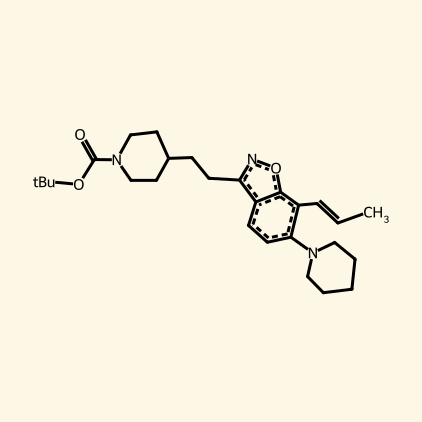 CC=Cc1c(N2CCCCC2)ccc2c(CCC3CCN(C(=O)OC(C)(C)C)CC3)noc12